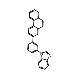 c1cc(-c2ccc3c(ccc4ccccc43)c2)cc(-n2cnc3ccccc32)c1